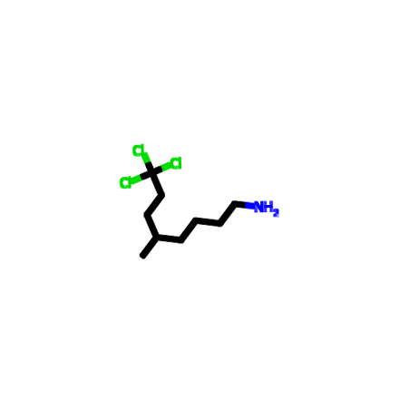 CC(CCCCN)CCC(Cl)(Cl)Cl